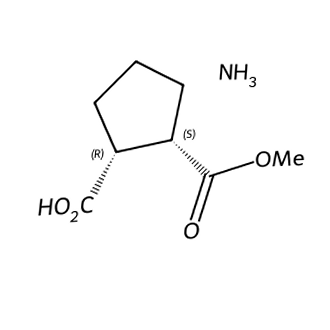 COC(=O)[C@H]1CCC[C@H]1C(=O)O.N